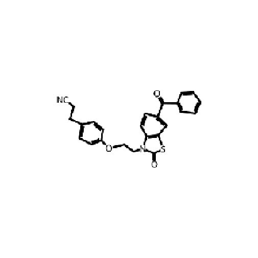 N#CCCc1ccc(OCCn2c(=O)sc3cc(C(=O)c4ccccc4)ccc32)cc1